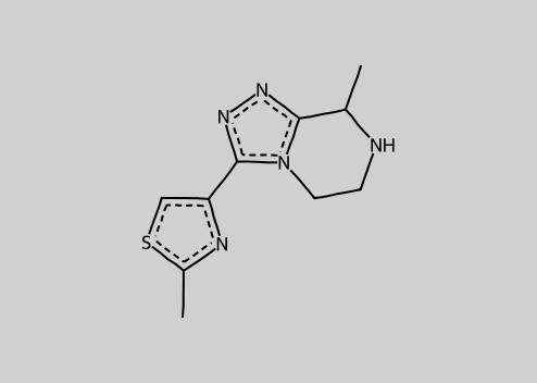 Cc1nc(-c2nnc3n2CCNC3C)cs1